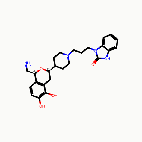 NC[C@H]1O[C@@H](C2CCN(CCCn3c(=O)[nH]c4ccccc43)CC2)Cc2c1ccc(O)c2O